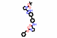 CC(C)(C)OC(=O)N1CCCC1c1nc2cc(-c3ccc(NC(=O)C4CCCN4C(=O)OCc4ccccc4)cc3)ccc2[nH]1